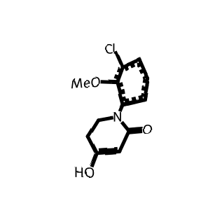 COc1c(Cl)cccc1N1CCC(O)=CC1=O